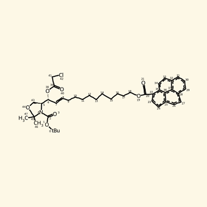 CC(C)(C)OC(=O)N1[C@H]([C@@H](C=CCCCCCCCCCCOC(=O)c2ccc3ccc4cccc5ccc2c3c45)OC(=O)CCl)COC1(C)C